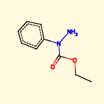 CCOC(=O)N(N)c1ccccc1